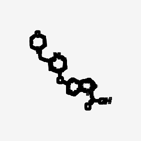 O=C(O)n1ccc2cc(Oc3ccnc(CN4CCOCC4)c3)ccc21